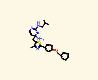 Cc1nc(-c2ccc(OCc3ccccc3)cc2)sc1CC1(N)C=CN=C(NCC(C)C)N1